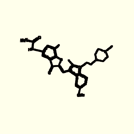 CNC(=O)Nc1cc(C)c2c(c1)C(=O)/C(=C/c1c(C)n(CCN3CCN(C)CC3)c3ccc(OC)cc13)O2